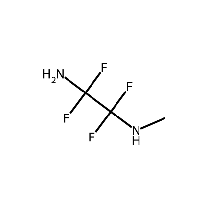 CNC(F)(F)C(N)(F)F